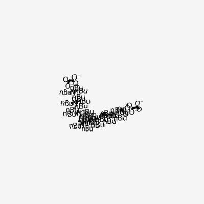 CCCC[N+](CCCC)(CCCC)CCCC.CCCC[N+](CCCC)(CCCC)CCCC.CCCC[N+](CCCC)(CCCC)CCCC.CCCC[N+](CCCC)(CCCC)CCCC.CCCC[N+](CCCC)(CCCC)CCCC.CCCC[N+](CCCC)(CCCC)CCCC.CCCC[N+](CCCC)(CCCC)CCCC.O=C([O-])C(=O)[O-].O=C([O-])C(=O)[O-].[O-]B([O-])[O-]